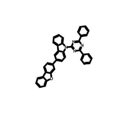 c1ccc(-c2nc(-c3ccccc3)nc(-n3c4ccccc4c4cc(-c5ccc6c(c5)oc5ccccc56)ccc43)n2)cc1